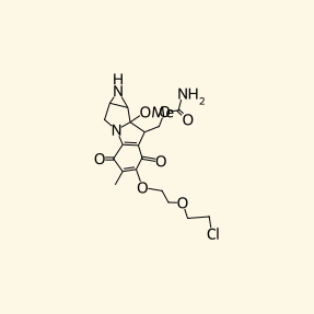 COC12C(COC(N)=O)C3=C(C(=O)C(C)=C(OCCOCCCl)C3=O)N1CC1NC12